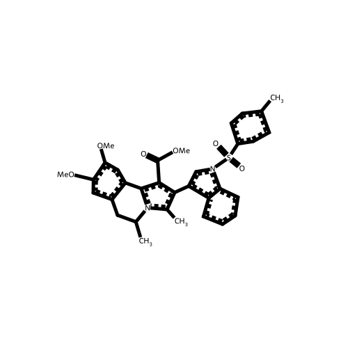 COC(=O)c1c(-c2cn(S(=O)(=O)c3ccc(C)cc3)c3ccccc23)c(C)n2c1-c1cc(OC)c(OC)cc1CC2C